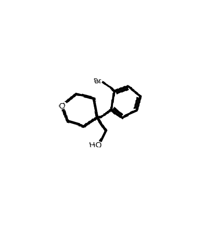 OCC1(c2ccccc2Br)CCOCC1